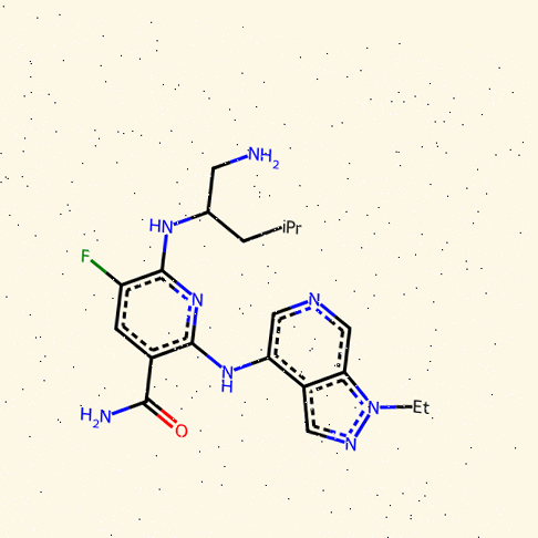 CCn1ncc2c(Nc3nc(NC(CN)CC(C)C)c(F)cc3C(N)=O)cncc21